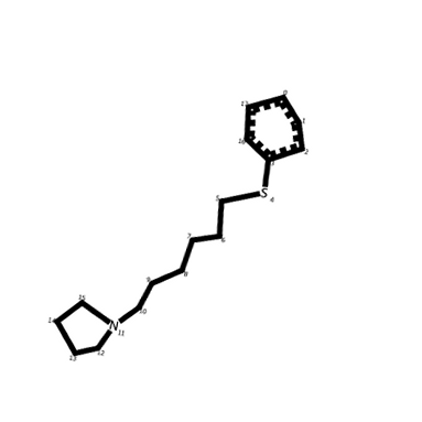 c1ccc(SCCCCCCN2CCCC2)cc1